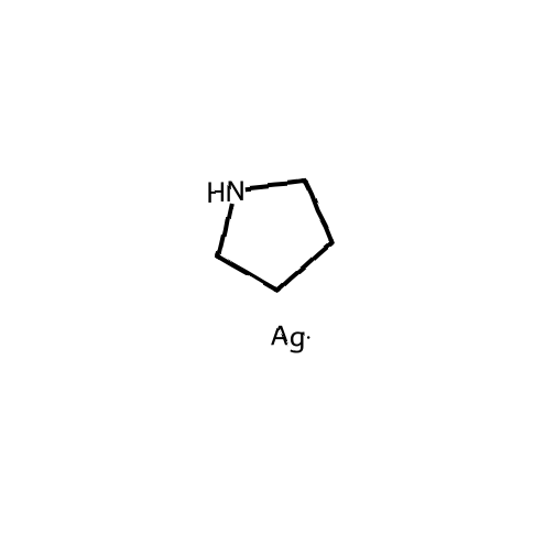 C1CCNC1.[Ag]